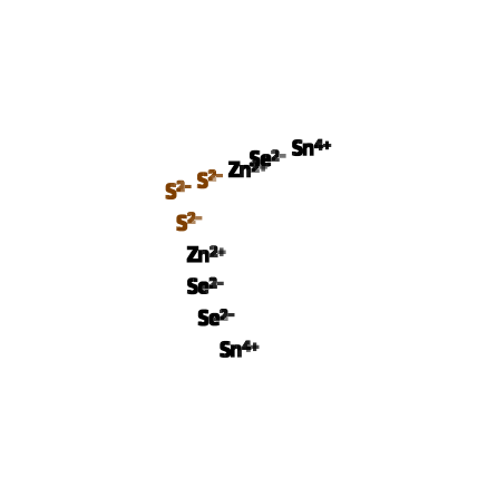 [S-2].[S-2].[S-2].[Se-2].[Se-2].[Se-2].[Sn+4].[Sn+4].[Zn+2].[Zn+2]